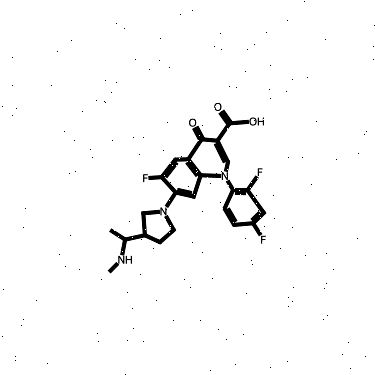 CNC(C)C1CCN(c2cc3c(cc2F)c(=O)c(C(=O)O)cn3-c2ccc(F)cc2F)C1